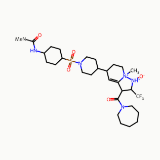 CNC(=O)NC1CCC(S(=O)(=O)N2CCC(C3C=C4C(C(=O)N5CCCCCC5)C(C(F)(F)F)[NH+]([O-])[N+]4(C)CC3)CC2)CC1